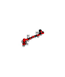 O=C(CCc1nc(-c2ccccc2)c(-c2ccccc2)o1)NCCOCCOCCOCCNC(=O)COc1cccc2c1C(=O)N(C1CCC(=O)NC1=O)C2=O